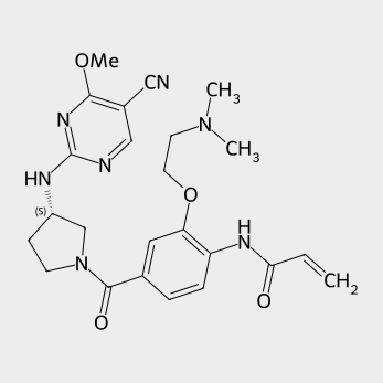 C=CC(=O)Nc1ccc(C(=O)N2CC[C@H](Nc3ncc(C#N)c(OC)n3)C2)cc1OCCN(C)C